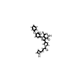 Nc1n[nH]c(=O)c2c(C3CCN(C(=O)/C=C/C4CCN4)C3)nn(-c3ccc(Oc4ccccc4)cc3)c12